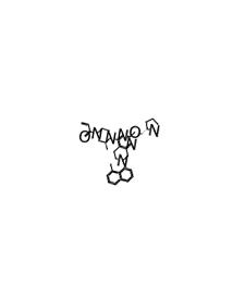 C=CC(=O)N1CCN(c2nc(OC[C@@H]3CCCN3C)nc3c2CCN(c2cccc4cccc(C)c24)C3)[C@@H](C)C1